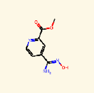 COC(=O)c1cc(/C(N)=N/O)ccn1